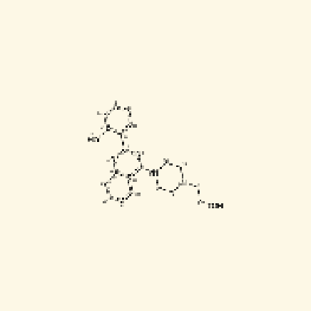 OCCN1CCN(c2nc(-c3ccccc3O)nc3ccccc23)CC1